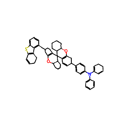 C1=CC(N(c2ccccc2)c2ccc(C3C=CC4=C(C3)OC3CCCCC3C43C4=C(CC(c5cccc6sc7c(c56)CCC=C7)CC4)OC4CCCCC43)cc2)=CCC1